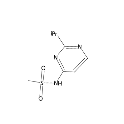 CC(C)c1nccc(NS(C)(=O)=O)n1